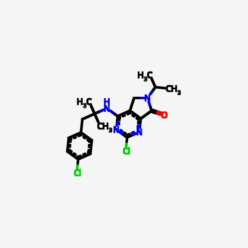 CC(C)N1Cc2c(NC(C)(C)Cc3ccc(Cl)cc3)nc(Cl)nc2C1=O